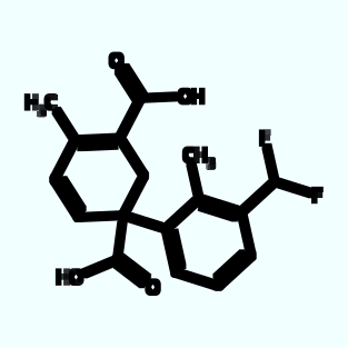 CC1=C(C(=O)O)CC(C(=O)O)(c2cccc(C(F)F)c2C)C=C1